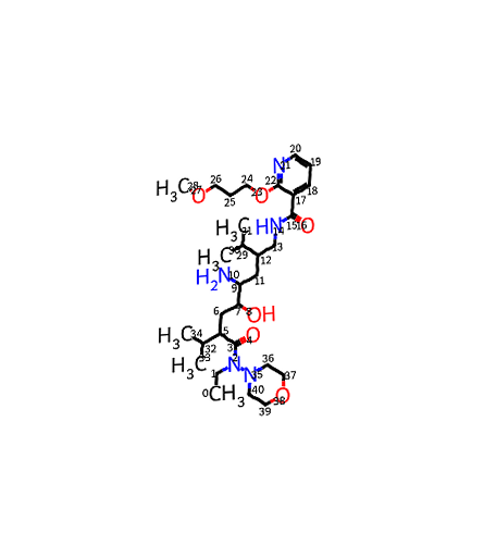 CCN(C(=O)C(CC(O)C(N)CC(CNC(=O)c1cccnc1OCCCOC)C(C)C)C(C)C)N1CCOCC1